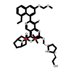 CCc1cccc2cc(OCOC)cc(-c3ncc4c(N5CC6CCC(C5)N6C(=O)OC(C)(C)C)nc(OC[C@@H]5CC[C@@H](CCO)N5)nc4c3F)c12